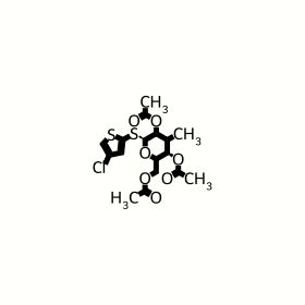 CC(=O)OCC1O[C@H](Sc2cc(Cl)cs2)C(OC(C)=O)C(C)[C@H]1OC(C)=O